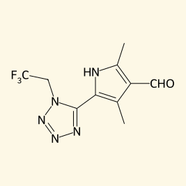 Cc1[nH]c(-c2nnnn2CC(F)(F)F)c(C)c1C=O